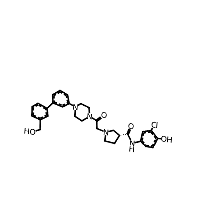 O=C(Nc1ccc(O)c(Cl)c1)[C@@H]1CCN(CC(=O)N2CCN(c3cccc(-c4cccc(CO)c4)c3)CC2)C1